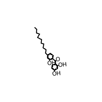 CCCCCCCCCCCc1ccc(C(=O)c2ccc(O)cc2O)c(O)c1